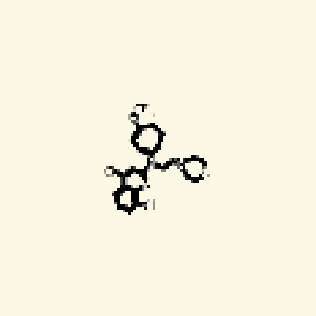 FC(F)(F)OC1=CC=C(N(CCN2CCOCC2)c2cc(Cl)c3cccc(Cl)c3n2)CCC1